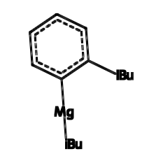 CC[CH](C)[Mg][c]1ccccc1C(C)CC